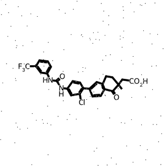 CC1(CC(=O)O)CCc2cc(-c3ccc(NC(=O)Nc4cccc(C(F)(F)F)c4)cc3Cl)ccc2C1=O